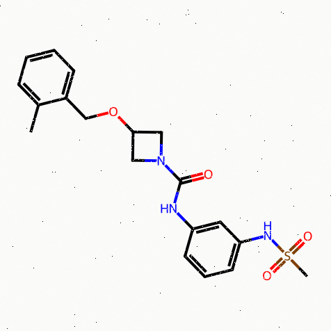 Cc1ccccc1COC1CN(C(=O)Nc2cccc(NS(C)(=O)=O)c2)C1